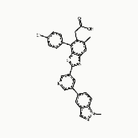 Cc1cc2nc(-c3cncc(-c4ccc5c(cnn5C)c4)c3)sc2c(-c2ccc(Cl)cc2)c1CC(=O)O